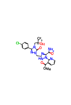 COC(=O)c1cccnc1N1NC(Cn2nc(-c3ccc(Cl)cc3)n(C[C@H](O)C(F)(F)F)c2=O)N=C1C(N)=O